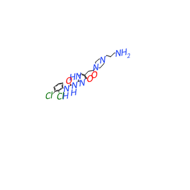 NCCCN1CCN(C(=O)Cc2c[nH]c(NC(=O)Nc3cccc(Cl)c3Cl)nc2=O)CC1